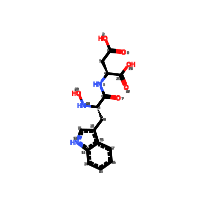 O=C(O)C[C@H](NC(=O)[C@H](Cc1c[nH]c2ccccc12)NO)C(=O)O